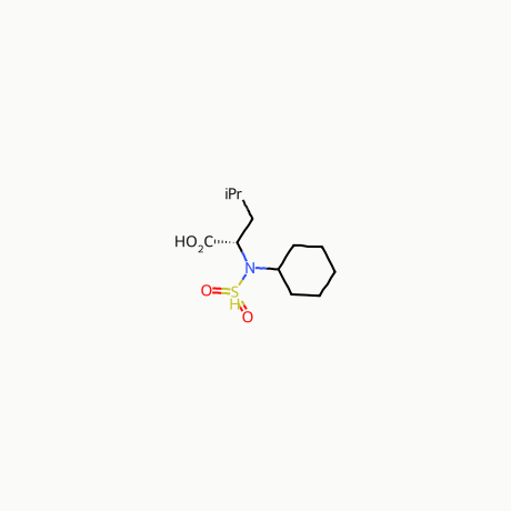 CC(C)C[C@@H](C(=O)O)N(C1CCCCC1)[SH](=O)=O